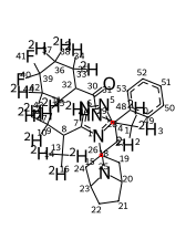 [2H]C([2H])([2H])c1nnc(C(C([2H])([2H])[2H])C([2H])([2H])[2H])n1C1CC2CCC(C1)N2CCC(NC(=O)C1C([2H])([2H])C([2H])([2H])C(F)(F)C([2H])([2H])C1([2H])[2H])c1ccccc1